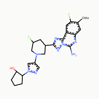 COc1cc2nc(N)n3nc(C4CC(F)CN(c5cnn(C6CCCC6O)c5)C4)nc3c2cc1F